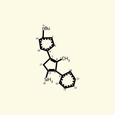 CCCCc1ccc(C2=C(C)C(c3ccccc3)=C([SiH3])C2)cc1